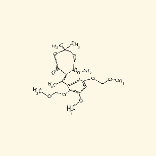 COCOc1cc(OC)c(OCOC)c(C(C)=C2C(=O)OC(C)(C)OC2=O)c1OC